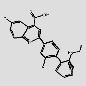 CCNc1ccccc1-c1ccc(-c2cc(C(=O)O)c3cc(F)ccc3n2)cc1F